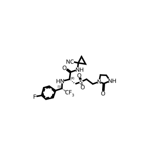 N#CC1(NC(=O)[C@H](CS(=O)(=O)CCN2CCNC2=O)N[C@@H](c2ccc(F)cc2)C(F)(F)F)CC1